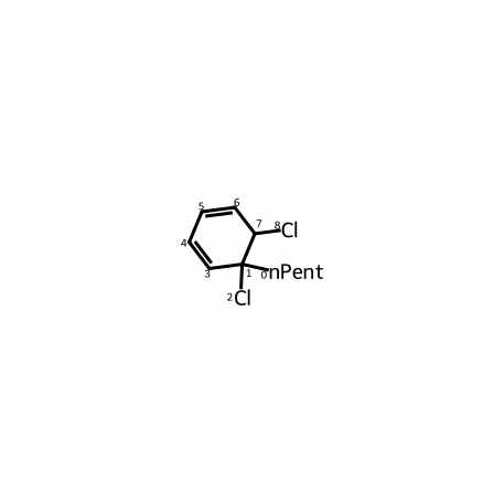 CCCCCC1(Cl)C=CC=CC1Cl